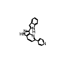 c1ccc2[nH]c(-c3n[nH]c4ccc(-c5ccncc5)nc34)cc2c1